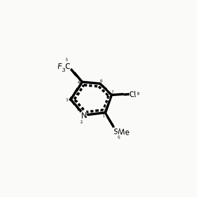 CSc1ncc(C(F)(F)F)cc1Cl